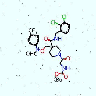 CC(C)(C)OC(=O)NCC(=O)N1CCC(CON(C=O)c2ccc(C(F)(F)F)cc2)(C(=O)NCc2cccc(Cl)c2Cl)CC1